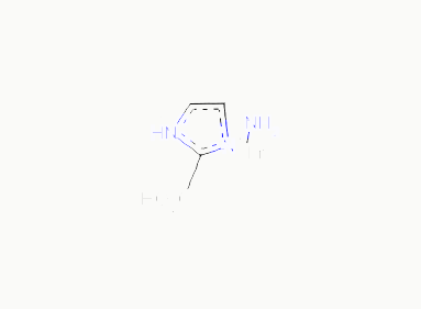 CC(C)N.O=C(O)c1ncc[nH]1